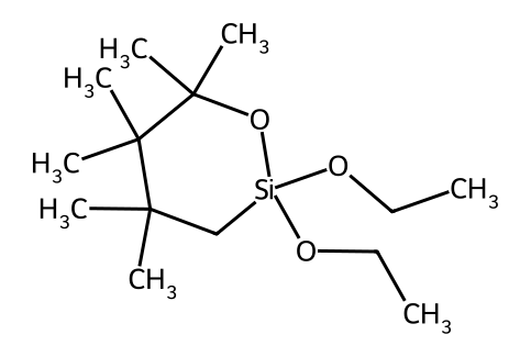 CCO[Si]1(OCC)CC(C)(C)C(C)(C)C(C)(C)O1